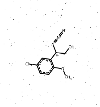 COc1ccc(Cl)cc1[C@H](CO)N=[N+]=[N-]